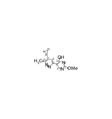 COc1ncc(-c2cc(C3CC3)c(C)nn2)c(O)n1